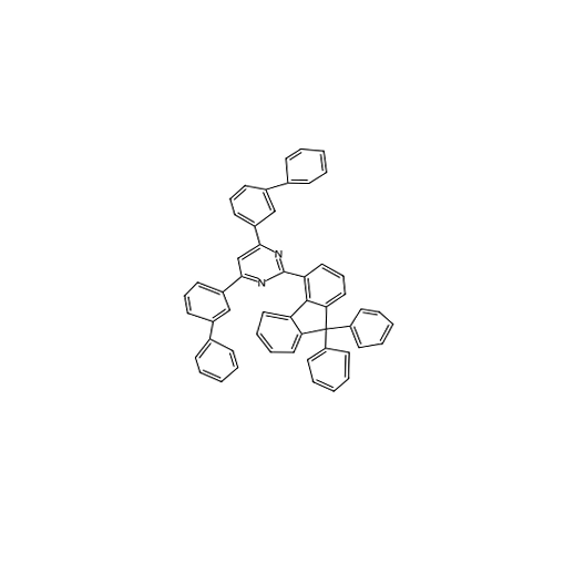 c1ccc(-c2cccc(-c3cc(-c4cccc(-c5ccccc5)c4)nc(-c4cccc5c4-c4ccccc4C5(c4ccccc4)c4ccccc4)n3)c2)cc1